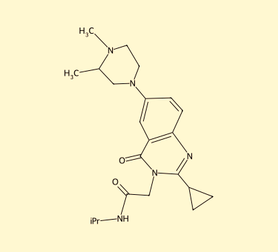 CC(C)NC(=O)Cn1c(C2CC2)nc2ccc(N3CCN(C)C(C)C3)cc2c1=O